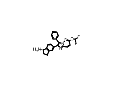 N[C@H]1CCc2cc(-c3nc4ccc(OC(F)F)nn4c3-c3ccccc3)ccc21